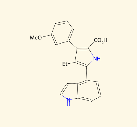 CCc1c(-c2cccc3[nH]ccc23)[nH]c(C(=O)O)c1-c1cccc(OC)c1